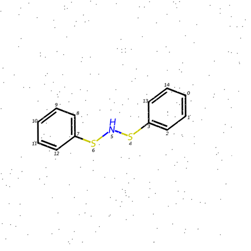 c1ccc(SNSc2ccccc2)cc1